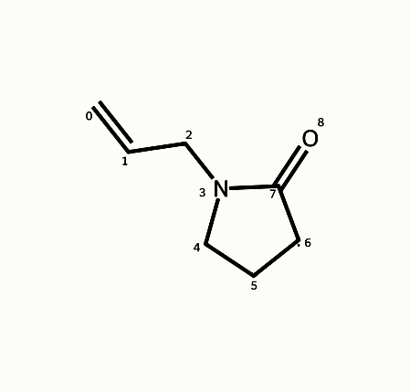 C=CCN1CC[CH]C1=O